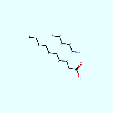 CCCCCCCCCC(=O)O.CCCCCN